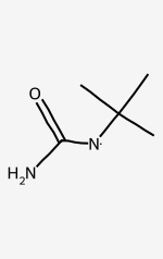 CC(C)(C)[N]C(N)=O